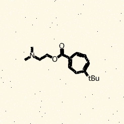 CN(C)CCOC(=O)C1=CCC(C(C)(C)C)=CC=C1